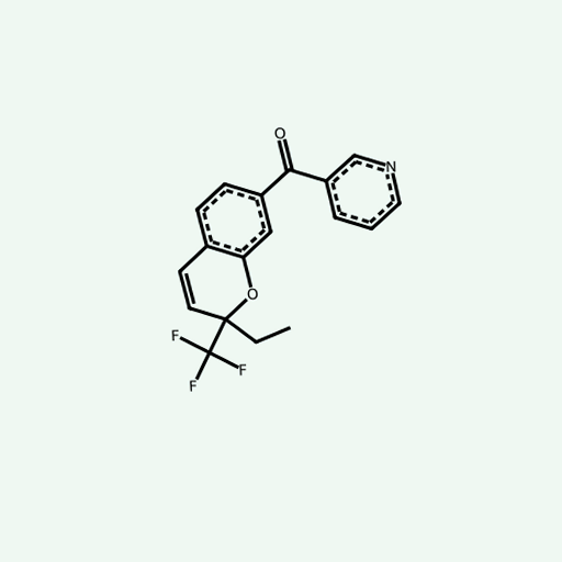 CCC1(C(F)(F)F)C=Cc2ccc(C(=O)c3cccnc3)cc2O1